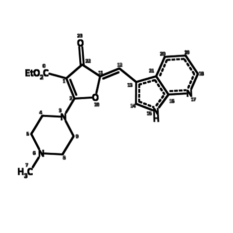 CCOC(=O)C1=C(N2CCN(C)CC2)OC(=Cc2c[nH]c3ncccc23)C1=O